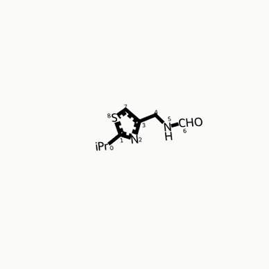 CC(C)c1nc(CNC=O)cs1